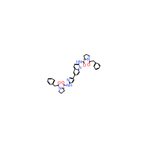 O=C(Nc1ccc(-c2ccc3nc(NC(=O)[C@@H]4CCCN4C(=O)Cc4ccccc4)ccc3c2)cn1)[C@@H]1CCCN1C(=O)Cc1ccccc1